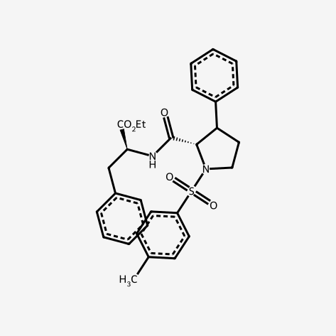 CCOC(=O)[C@H](Cc1ccccc1)NC(=O)[C@@H]1C(c2ccccc2)CCN1S(=O)(=O)c1ccc(C)cc1